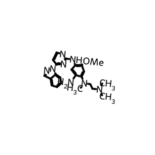 COc1cc(N(C)CCN(C)C)c(N)cc1Nc1nccc(-n2ncc3ccccc32)n1